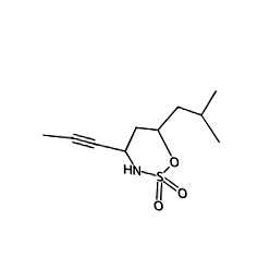 CC#CC1CC(CC(C)C)OS(=O)(=O)N1